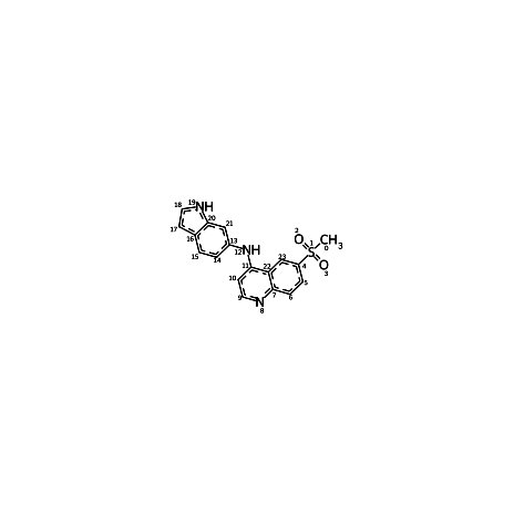 CS(=O)(=O)c1ccc2nccc(Nc3ccc4cc[nH]c4c3)c2c1